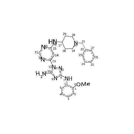 COc1ccccc1Nc1nc(N)n(-c2cc(NC3CCN(Cc4ccccc4)CC3)ncn2)n1